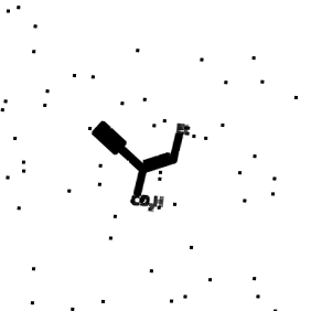 C#CC(=CCC)C(=O)O